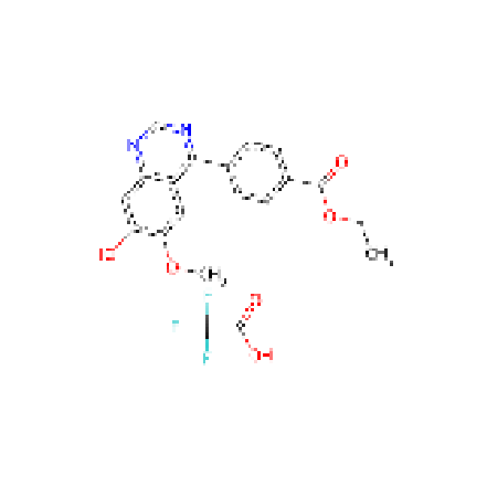 CCOC(=O)c1ccc(-c2ncnc3cc(O)c(OC)cc23)cc1.O=C(O)C(F)(F)F